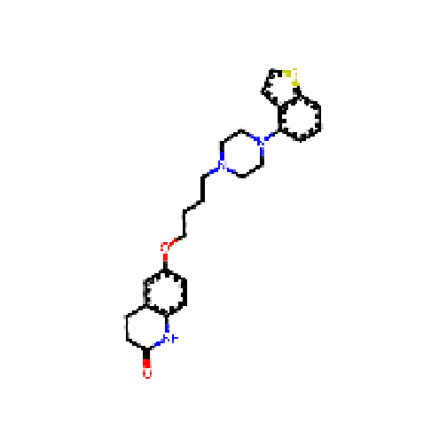 O=C1CCc2cc(OCCCCN3CCN(c4cccc5sccc45)CC3)ccc2N1